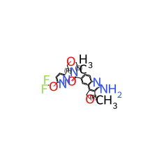 C[C@H]1OCc2c1c(N)nc1ccc(C(=O)N3[C@@H](C)COC[C@H]3c3ccc(OC(F)F)nn3)cc21